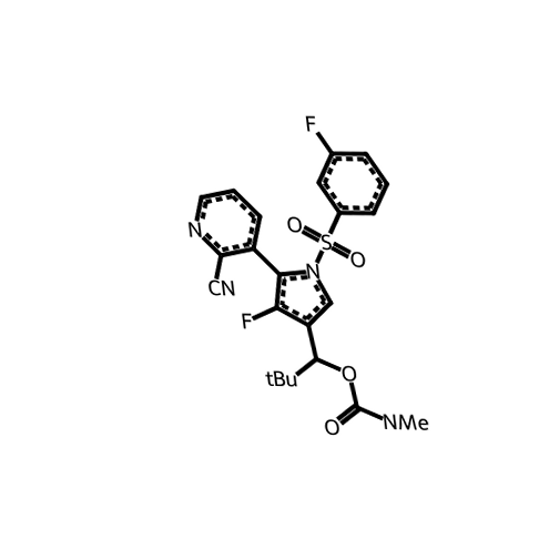 CNC(=O)OC(c1cn(S(=O)(=O)c2cccc(F)c2)c(-c2cccnc2C#N)c1F)C(C)(C)C